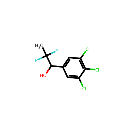 CC(F)(F)C(O)c1cc(Cl)c(Cl)c(Cl)c1